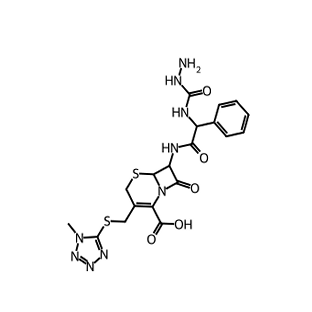 Cn1nnnc1SCC1=C(C(=O)O)N2C(=O)C(NC(=O)C(NC(=O)NN)c3ccccc3)C2SC1